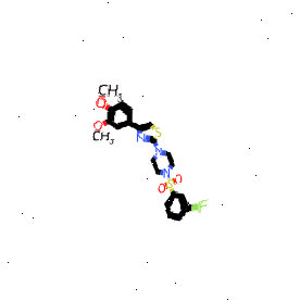 COc1ccc(-c2csc(N3CCN(S(=O)(=O)c4cccc(F)c4)CC3)n2)cc1OC